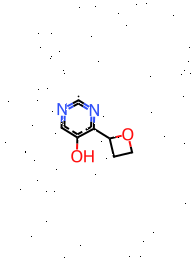 Oc1cn[c]nc1C1CCO1